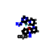 CCOC(=O)c1ccccc1NC1CCCN([C@@H]2CCCN(c3ncnc(N)c3F)C2)C1=O